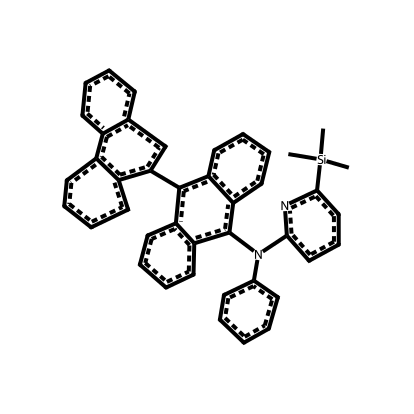 C[Si](C)(C)c1cccc(N(c2ccccc2)c2c3ccccc3c(-c3cc4ccccc4c4ccccc34)c3ccccc23)n1